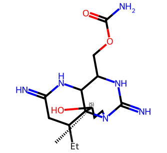 CCC1CC(=N)NC2C(COC(N)=O)NC(=N)N3CC[C@](C)(O)C123